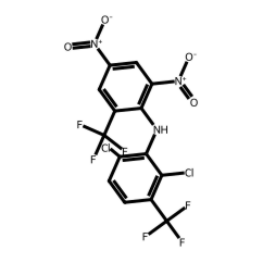 O=[N+]([O-])c1cc([N+](=O)[O-])c(Nc2c(Cl)ccc(C(F)(F)F)c2Cl)c(C(F)(F)F)c1